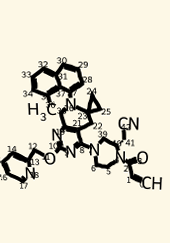 C=CC(=O)N1CCN(c2nc(OCc3ccccn3)nc3c2CC2(CC2)N(c2cccc4cccc(C)c24)C3)C[C@@H]1CC#N